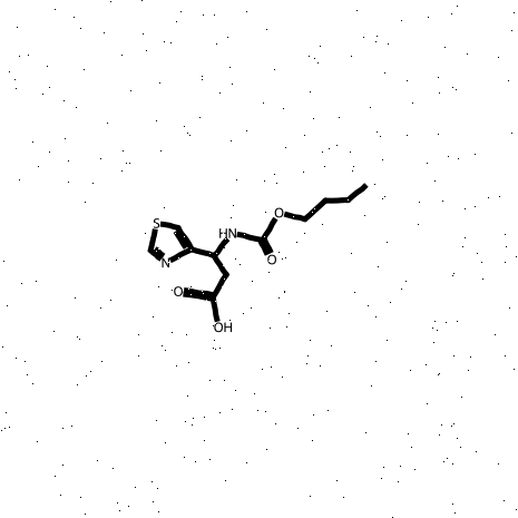 CCCCOC(=O)NC(CC(=O)O)c1cscn1